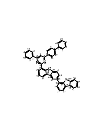 c1ccc(-c2ccc(-c3cc(-c4ccccc4)nc(-c4cccc5c4oc4ccc(-c6cccc7c6sc6ccccc67)cc45)n3)cc2)cc1